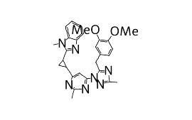 COc1ccc(Cc2nc(C)nn2-c2cc(C3CC3c3nc4ccccc4n3C)nc(C)n2)cc1OC